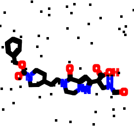 O=CNCC(C(=O)O)c1cc2n(n1)CCN(CCC1CCN(C(=O)OCc3ccccc3)CC1)C2=O